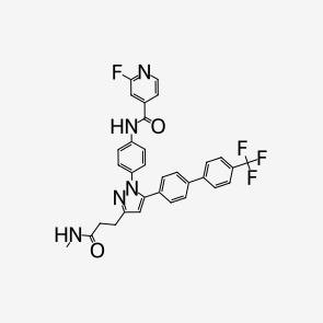 CNC(=O)CCc1cc(-c2ccc(-c3ccc(C(F)(F)F)cc3)cc2)n(-c2ccc(NC(=O)c3ccnc(F)c3)cc2)n1